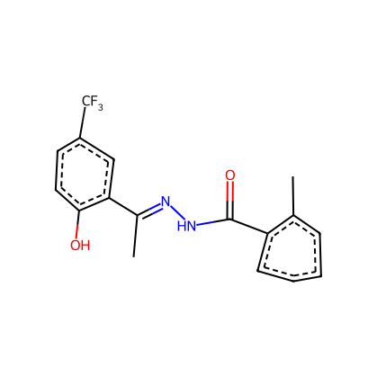 C/C(=N\NC(=O)c1ccccc1C)c1cc(C(F)(F)F)ccc1O